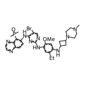 CCc1cc(Nc2ncc(Br)c(Nc3ccc4nccnc4c3P(C)(C)=O)n2)c(OC)cc1NC1CC(N2CCN(C)CC2)C1